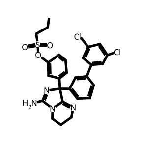 CCCS(=O)(=O)Oc1cccc(C2(c3cccc(-c4cc(Cl)cc(Cl)c4)c3)N=C(N)N3CCCN=C32)c1